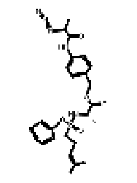 CC(C)=CCCP(=O)(N[C@@H](C)C(=O)OCc1ccc(NC(=O)C(C)N=[N+]=[N-])cc1)Oc1ccccc1